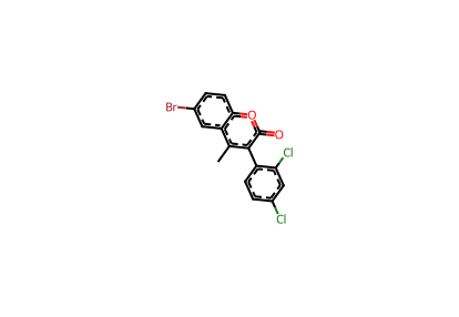 Cc1c(-c2ccc(Cl)cc2Cl)c(=O)oc2ccc(Br)cc12